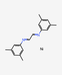 Cc1cc(C)cc(N=CC=Nc2cc(C)cc(C)c2)c1.[Ni]